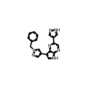 c1ccc(Cn2cc(-c3c[nH]c4ncc(-c5cn[nH]c5)nc34)cn2)cc1